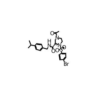 CC(=O)N1CCN(S(=O)(=O)c2ccc(Br)cc2)[C@@H](C(=O)NCc2ccc(C(C)C)cc2)C1